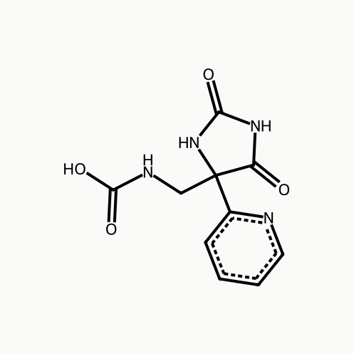 O=C(O)NCC1(c2ccccn2)NC(=O)NC1=O